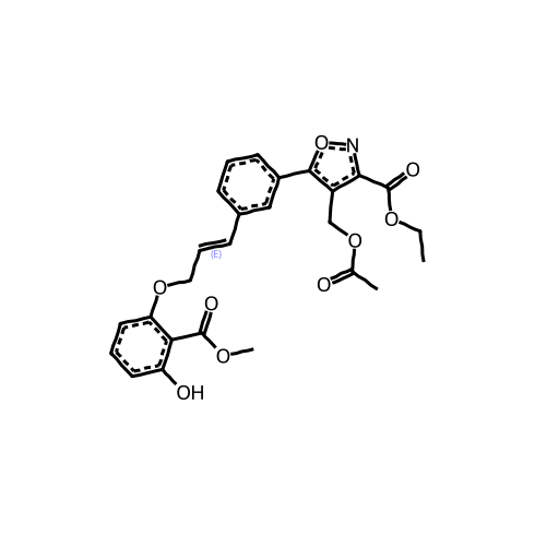 CCOC(=O)c1noc(-c2cccc(/C=C/COc3cccc(O)c3C(=O)OC)c2)c1COC(C)=O